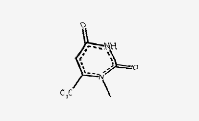 Cn1c(C(Cl)(Cl)Cl)cc(=O)[nH]c1=O